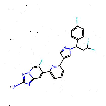 Nc1nc2cc(-c3cccc(-c4cnn(C(CC(F)F)c5ccc(F)cc5)c4)n3)c(F)cn2n1